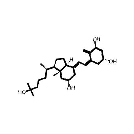 C=C1/C(=C\C=C2/C[C@@H](O)C[C@]3(C)[C@@H]([C@H](C)CCCC(C)(C)O)CC[C@@H]23)C[C@@H](O)C[C@@H]1O